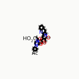 CC[C@@]1(OC(CC(=O)O)N2CCN(c3ccc(C(C)=O)cc3)CC2)C(=O)OCc2c1cc1n(c2=O)Cc2cc3ccccc3nc2-1